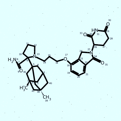 C[C@]12CC3CC(C4(C(N)=O)CCCN4CCCOc4cccc5c4CN(C4CCC(=O)NC4=O)C5=O)(C1)C[C@@](C)(C3)C2